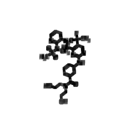 CN(c1ncccc1CNc1nc(Nc2cccc(C(=O)N(CCO)CCO)c2)ncc1C(C)(C)F)S(C)(=O)=O